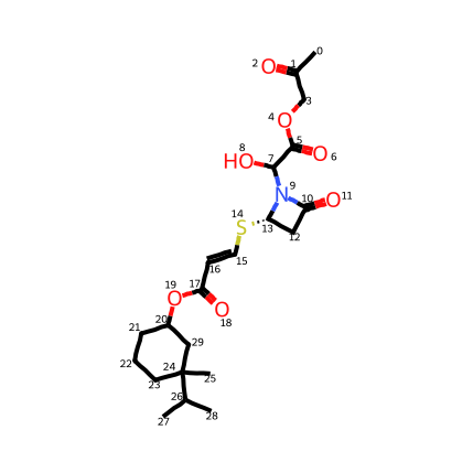 CC(=O)COC(=O)C(O)N1C(=O)C[C@@H]1SC=CC(=O)OC1CCCC(C)(C(C)C)C1